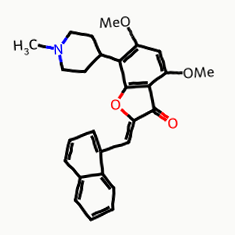 COc1cc(OC)c(C2CCN(C)CC2)c2c1C(=O)/C(=C/c1cccc3ccccc13)O2